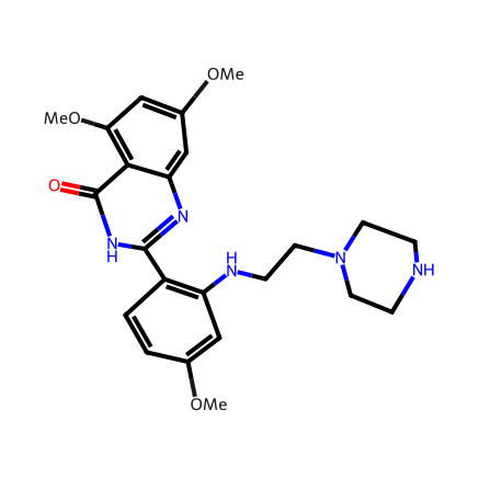 COc1ccc(-c2nc3cc(OC)cc(OC)c3c(=O)[nH]2)c(NCCN2CCNCC2)c1